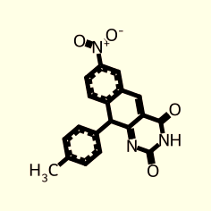 Cc1ccc(C2C3=NC(=O)NC(=O)C3=Cc3cc([N+](=O)[O-])ccc32)cc1